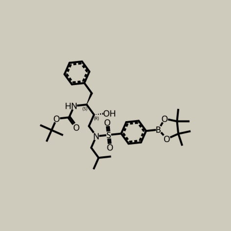 CC(C)CN(C[C@@H](O)[C@H](Cc1ccccc1)NC(=O)OC(C)(C)C)S(=O)(=O)c1ccc(B2OC(C)(C)C(C)(C)O2)cc1